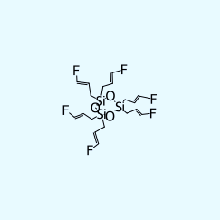 FC=CC[Si]1(CC=CF)O[Si](CC=CF)(CC=CF)O[Si](CC=CF)(CC=CF)O1